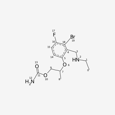 CCNCc1c(OC(C)COC(N)=O)ccc(F)c1Br